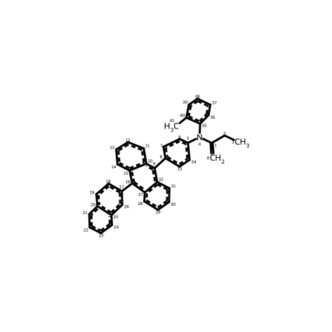 C=C(CC)N(c1ccc(-c2c3ccccc3c(-c3ccc4ccccc4c3)c3ccccc23)cc1)c1ccccc1C